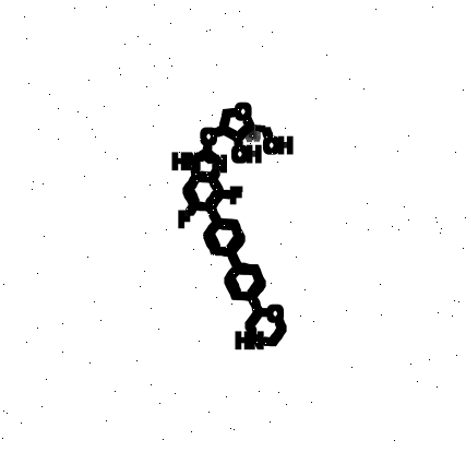 OC[C@H]1OCC(Oc2nc3c(F)c(-c4ccc(-c5ccc(C6CNCCO6)cc5)cc4)c(F)cc3[nH]2)C1O